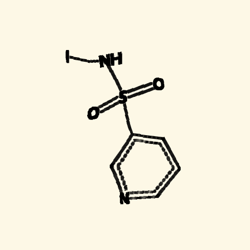 O=S(=O)(NI)c1cccnc1